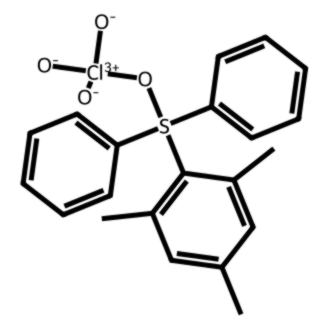 Cc1cc(C)c(S(O[Cl+3]([O-])([O-])[O-])(c2ccccc2)c2ccccc2)c(C)c1